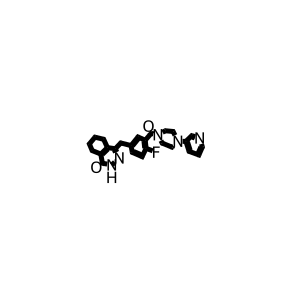 O=C(c1cc(Cc2n[nH]c(=O)c3c2CCCC3)ccc1F)N1CCN(c2cccnc2)CC1